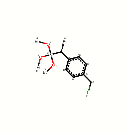 CCO[Si](OCC)(OCC)[C@@H](CC)c1ccc(CCl)cc1